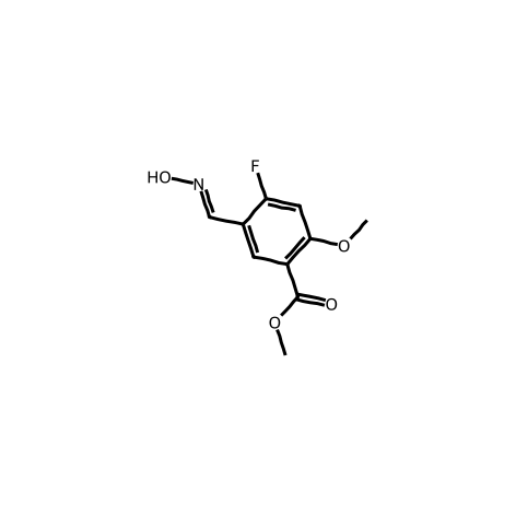 COC(=O)c1cc(/C=N/O)c(F)cc1OC